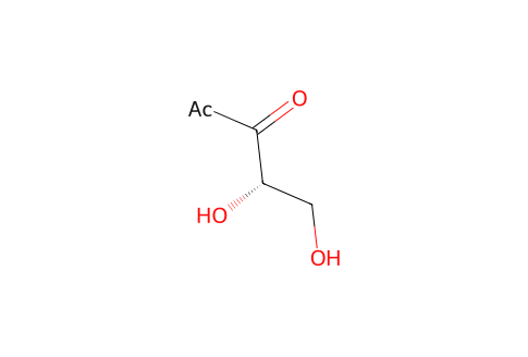 CC(=O)C(=O)[C@@H](O)CO